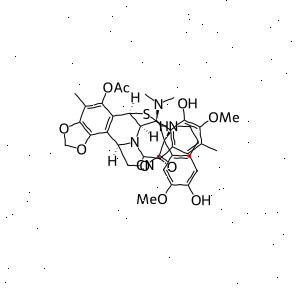 COc1cc2c(cc1O)CCN[C@@]21CS[C@@H]2c3c(OC(C)=O)c(C)c4c(c3[C@H](COC1=O)N1C(C#N)Cc3cc(C)c(OC)c(O)c3[C@H](N(C)C)[C@H]21)OCO4